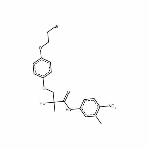 Cc1cc(NC(=O)C(C)(O)COc2ccc(OCCBr)cc2)ccc1[N+](=O)[O-]